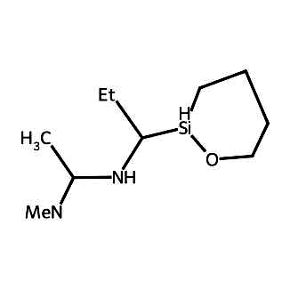 CCC(NC(C)NC)[SiH]1CCCCO1